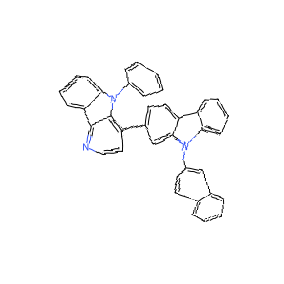 c1ccc(-n2c3ccccc3c3nccc(-c4ccc5c6ccccc6n(-c6ccc7ccccc7c6)c5c4)c32)cc1